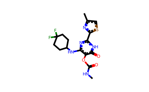 CNC(=O)Oc1c(NC2CCC(F)(F)CC2)nc(-c2nc(C)cs2)[nH]c1=O